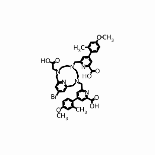 COc1ccc(-c2cc(CN3CCN(CC(=O)O)Cc4cc(Br)cc(n4)CN(Cc4cc(-c5ccc(OC)cc5C)cc(C(=O)O)n4)CC3)nc(C(=O)O)c2)c(C)c1